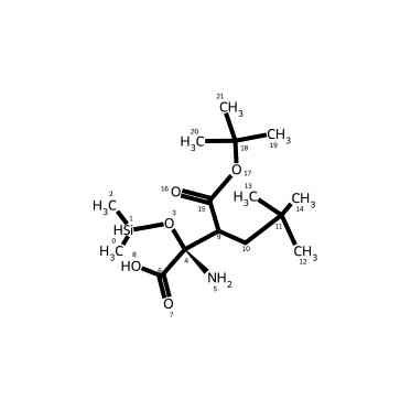 C[SiH](C)O[C@@](N)(C(=O)O)C(CC(C)(C)C)C(=O)OC(C)(C)C